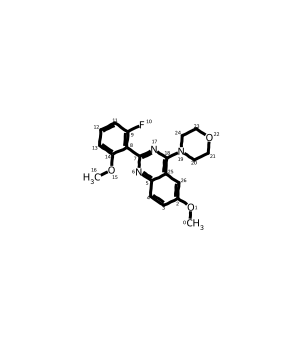 COc1ccc2nc(-c3c(F)cccc3OC)nc(N3CCOCC3)c2c1